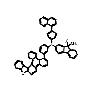 CC1(C)c2ccccc2-c2ccc(N(c3ccc(-c4cccc5ccccc45)cc3)c3cccc(-c4cccc5c6ccc7oc8ccccc8c7c6c6ccccc6c45)c3)cc21